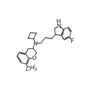 Cc1cccc2c1OCC(N(CCCC1CNc3ccc(F)cc31)C1CCC1)C2